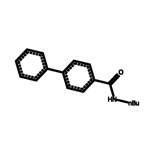 [CH2]CCCNC(=O)c1ccc(-c2ccccc2)cc1